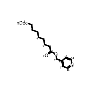 CCCCCCCCCCCCCCCCCC(=O)OCc1ccncc1